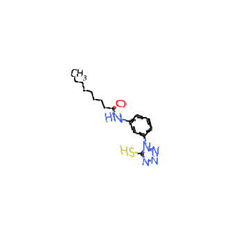 CCCCCCCCC(=O)Nc1cccc(-n2nnnc2S)c1